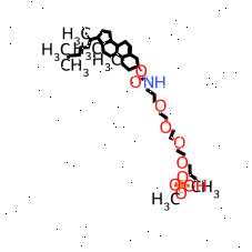 CCC(COCCOCCOCCOCCCNC(=O)O[C@H]1CC[C@@]2(C)C(=CCC3C4CCC([C@H](C)CCCC(C)C)[C@@]4(C)CCC32)C1)OP(=O)(O)OC